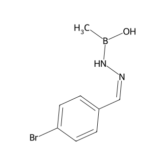 CB(O)N/N=C\c1ccc(Br)cc1